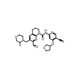 CC1COCCN1Cc1cc2c(nc1C=O)N(C(=O)Nc1cc(SC3CCOC3)c(C#N)cn1)CCC2